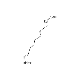 CCCCCCCCCCCCCC[Se][SeH]